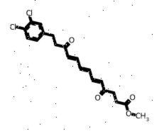 COC(=O)CCC(=O)/C=C/C=C/C=C/C(=O)CCc1ccc(Cl)c(Cl)c1